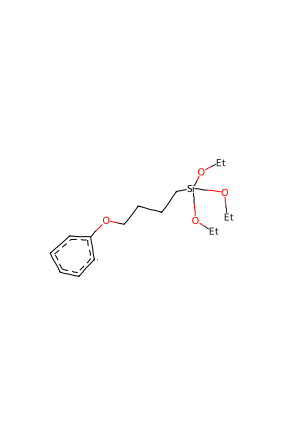 CCO[Si](CCCCOc1[c]cccc1)(OCC)OCC